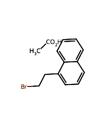 BrCCc1cccc2ccccc12.CC(=O)O